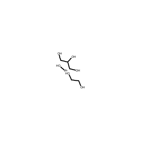 CC(C)O.OCC(O)CO.OCCO